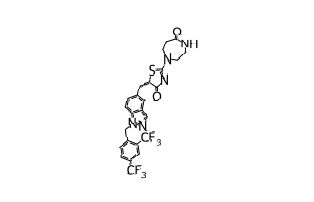 O=C1CCN(C2=NC(=O)C(=Cc3ccc4c(cnn4Cc4ccc(C(F)(F)F)cc4C(F)(F)F)c3)S2)CCN1